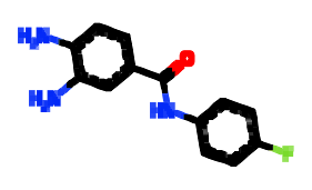 Nc1ccc(C(=O)Nc2ccc(F)cc2)cc1N